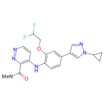 CNC(=O)c1nnccc1Nc1ccc(-c2cnn(C3CC3)c2)cc1OCC(F)F